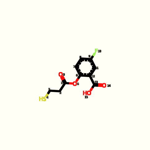 O=C(CCS)Oc1ccc(F)cc1C(=O)O